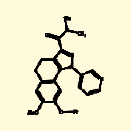 COc1cc2c(cc1OC(C)C)-c1c(c(C(=O)N(C)C(C)(C)C)nn1-c1cccnc1)CC2